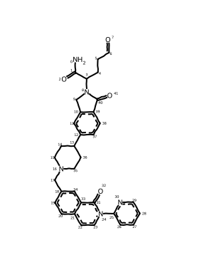 NC(=O)C(CCC=O)N1Cc2cc(C3CCN(Cc4ccc5ccn(-c6ccccn6)c(=O)c5c4)CC3)ccc2C1=O